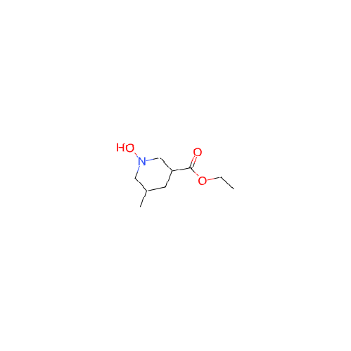 CCOC(=O)C1CC(C)CN(O)C1